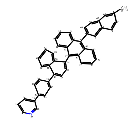 Cc1ccc2cc(-c3c4ccccc4c(-c4ccc(-c5ccc(-c6cccnc6)cc5)c5ccccc45)c4ccccc34)ccc2c1